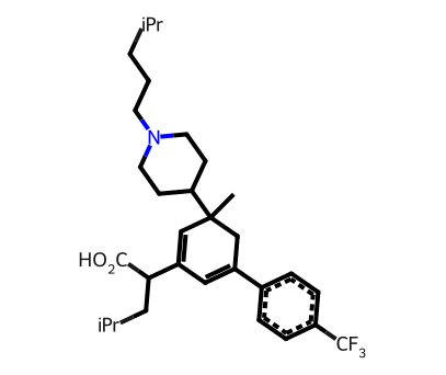 CC(C)CCCN1CCC(C2(C)C=C(C(CC(C)C)C(=O)O)C=C(c3ccc(C(F)(F)F)cc3)C2)CC1